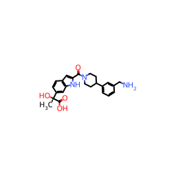 C[C@](O)(C(=O)O)c1ccc2cc(C(=O)N3CCC(c4cccc(CN)c4)CC3)[nH]c2c1